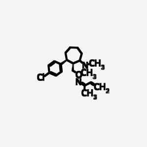 C=C/C(C)=N\OC[C@@H]1C(N(C)C)CCCC[C@@H]1c1ccc(Cl)cc1